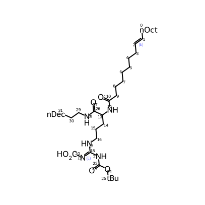 CCCCCCCC/C=C/CCCCCCCC(=O)NC(CCCN/C(=N\C(=O)O)NC(=O)OC(C)(C)C)C(=O)NCCCCCCCCCCCC